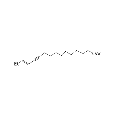 CCC=CC#CCCCCCCCCCOC(C)=O